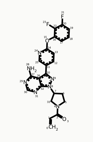 C=CC(=O)N1CCC(n2nc(-c3ccc(Oc4cccc(F)c4F)nc3)c3c(N)ncnc32)C1